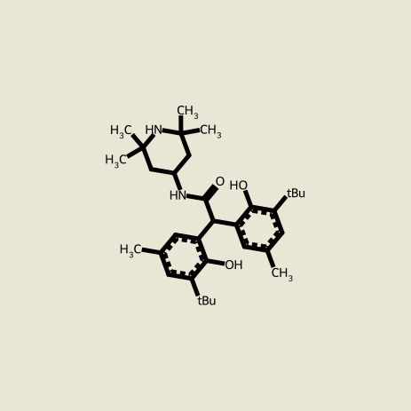 Cc1cc(C(C(=O)NC2CC(C)(C)NC(C)(C)C2)c2cc(C)cc(C(C)(C)C)c2O)c(O)c(C(C)(C)C)c1